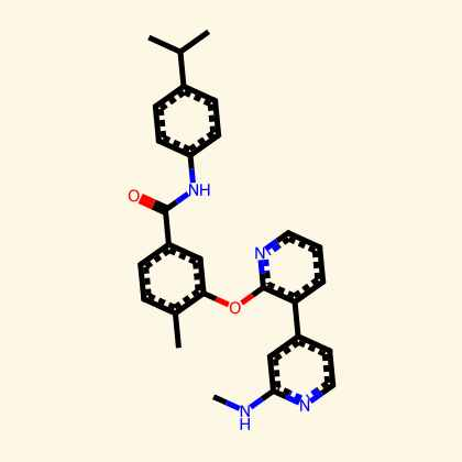 CNc1cc(-c2cccnc2Oc2cc(C(=O)Nc3ccc(C(C)C)cc3)ccc2C)ccn1